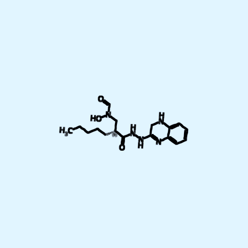 CCCCC[C@H](CN(O)C=O)C(=O)NNC1=Nc2ccccc2NC1